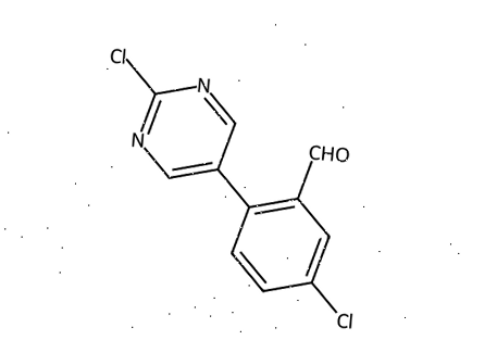 O=Cc1cc(Cl)ccc1-c1cnc(Cl)nc1